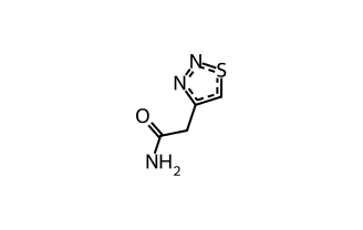 NC(=O)Cc1csnn1